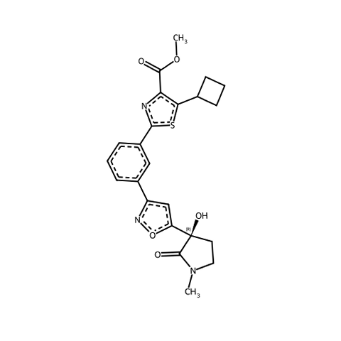 COC(=O)c1nc(-c2cccc(-c3cc([C@]4(O)CCN(C)C4=O)on3)c2)sc1C1CCC1